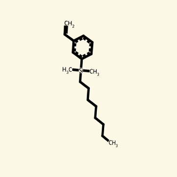 C=Cc1cccc([Si](C)(C)CCCCCCCC)c1